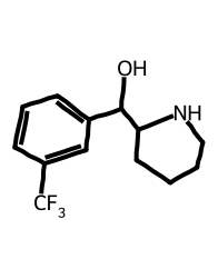 OC(c1cccc(C(F)(F)F)c1)C1CCCCN1